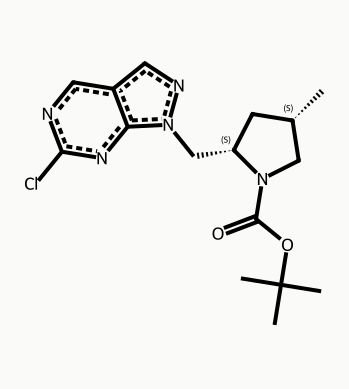 C[C@H]1C[C@@H](Cn2ncc3cnc(Cl)nc32)N(C(=O)OC(C)(C)C)C1